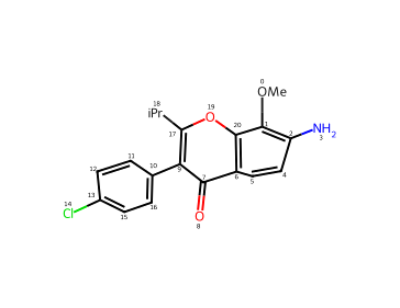 COc1c(N)ccc2c(=O)c(-c3ccc(Cl)cc3)c(C(C)C)oc12